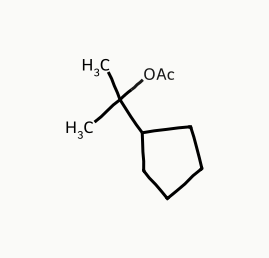 CC(=O)OC(C)(C)C1CCCC1